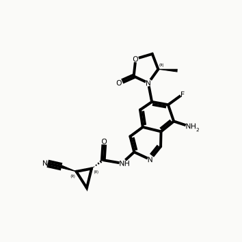 C[C@@H]1COC(=O)N1c1cc2cc(NC(=O)[C@@H]3C[C@H]3C#N)ncc2c(N)c1F